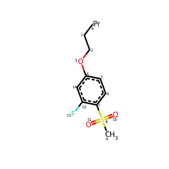 CC(C)CCOc1ccc(S(C)(=O)=O)c(F)c1